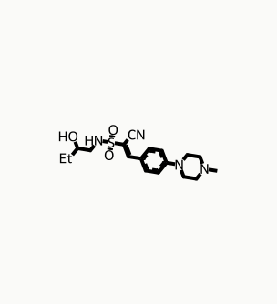 CCC(O)CNS(=O)(=O)/C(C#N)=C/c1ccc(N2CCN(C)CC2)cc1